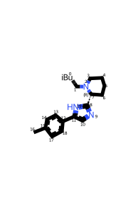 CCC(C)CN1CCCC[C@@H]1c1ncc(-c2ccc(C)cc2)[nH]1